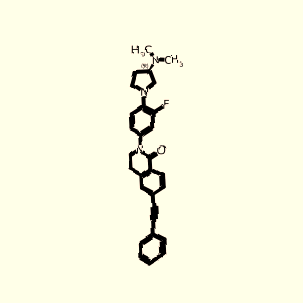 CN(C)[C@@H]1CCN(c2ccc(N3CCc4cc(C#Cc5ccccc5)ccc4C3=O)cc2F)C1